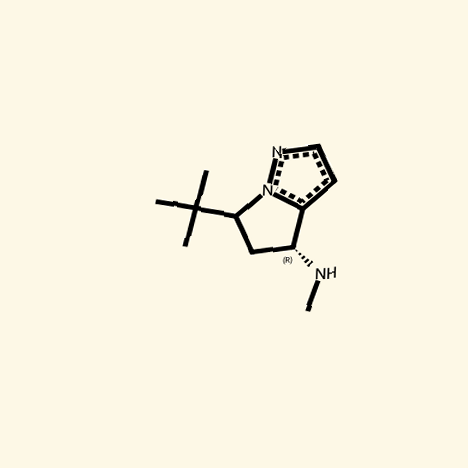 CN[C@@H]1CC(C(C)(C)C)n2nccc21